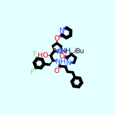 CC[C@@H](C)C1(NC(C)=O)CCN(C(CCc2ccccc2)C(=O)N[C@@H](Cc2cc(F)cc(F)c2)[C@H](O)[C@H]2C[C@@H](Oc3ccccn3)CN2)C1=O